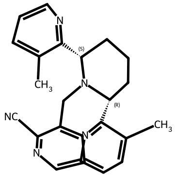 Cc1cccnc1[C@H]1CCC[C@@H](c2ncccc2C)N1Cc1cccnc1C#N